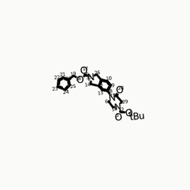 CC(C)(C)OC(=O)N1CCN(c2ccc3c(c2)CN(C(=O)OCc2ccccc2)C3)C(=O)C1